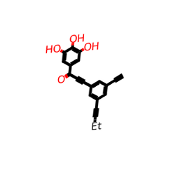 C#Cc1cc(C#CCC)cc(C#CC(=O)c2cc(O)c(O)c(O)c2)c1